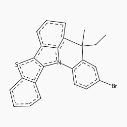 CCC1(C)c2cc(Br)ccc2-n2c3c1cccc3c1sc3ccccc3c12